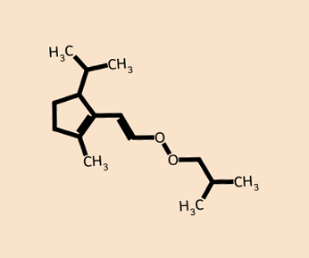 CC1=C(C=COOCC(C)C)C(C(C)C)CC1